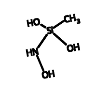 C[Si](O)(O)NO